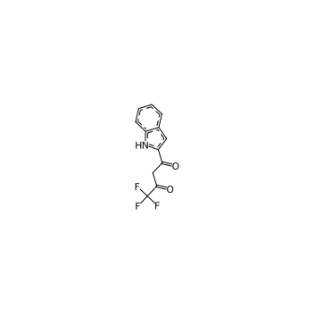 O=C(CC(=O)C(F)(F)F)c1cc2ccccc2[nH]1